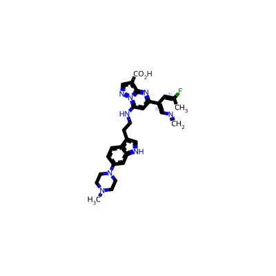 C=N/C=C(\C=C(/C)F)c1cc(NCCc2c[nH]c3cc(N4CCN(C)CC4)ccc23)n2ncc(C(=O)O)c2n1